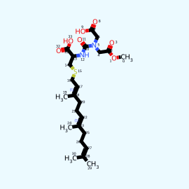 COC(=O)CN(CC(=O)O)C(=O)NC(CSC/C=C(\C)CC/C=C(\C)CCC=C(C)C)C(=O)O